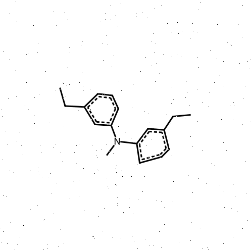 CCc1cccc(N(C)c2cccc(CC)c2)c1